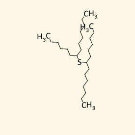 CCCCCCCC(CCCCCC)SC(CCCCCC)CCCCCCC